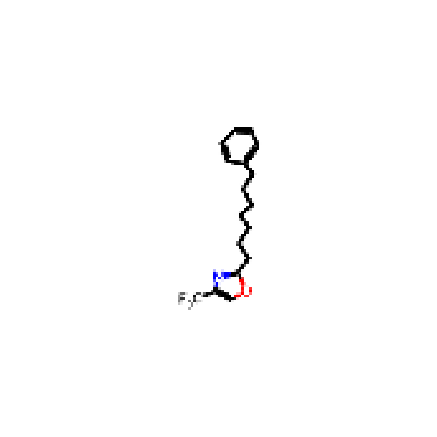 FC(F)(F)c1coc(CCCCCCCc2ccccc2)n1